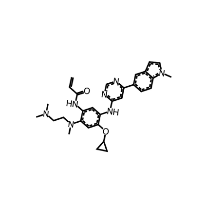 C=CC(=O)Nc1cc(Nc2cc(-c3ccc4c(ccn4C)c3)ncn2)c(OC2CC2)cc1N(C)CCN(C)C